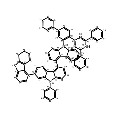 C1=Cc2c(sc3cccc(-c4ccc5c6c(-c7cccc8c7c7ccccc7n8-c7cc(-c8ccccc8)ccc7C7=NC(c8ccccc8)NC(c8ccccc8)=N7)cccc6n(-c6ccccc6)c5c4)c23)CC1